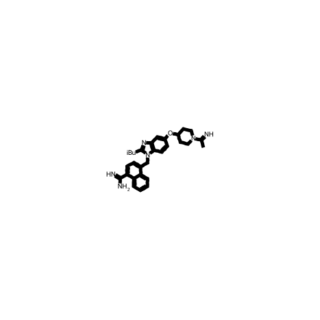 CCC(C)c1nc2cc(OC3CCN(C(C)=N)CC3)ccc2n1Cc1ccc(C(=N)N)c2ccccc12